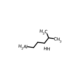 CC(C)CC[CH2][AlH2].[HH]